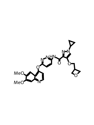 COc1cc2nccc(Oc3ccc(NC(=O)c4nn(C5CC5)cc4OCC4COC4)nn3)c2cc1OC